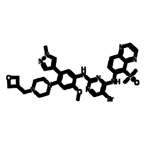 COc1cc(N2CCN(CC3COC3)CC2)c(-c2cnn(C)c2)cc1Nc1ncc(Br)c(Nc2ccc3nccnc3c2P(C)(C)=O)n1